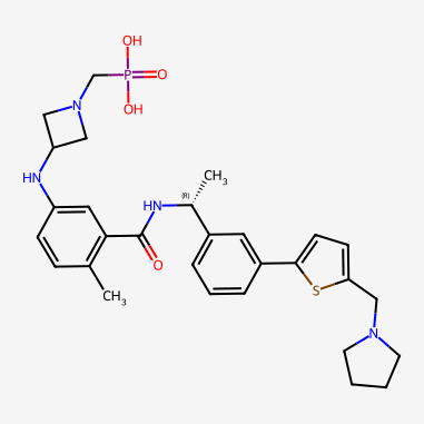 Cc1ccc(NC2CN(CP(=O)(O)O)C2)cc1C(=O)N[C@H](C)c1cccc(-c2ccc(CN3CCCC3)s2)c1